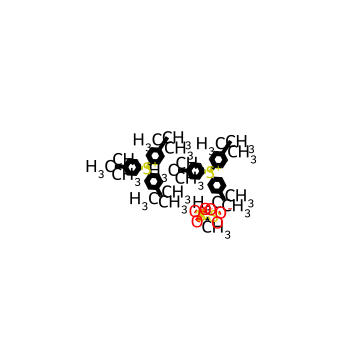 CC(C)(C)c1ccc([S+](c2ccc(C(C)(C)C)cc2)c2ccc(C(C)(C)C)cc2)cc1.CC(C)(C)c1ccc([S+](c2ccc(C(C)(C)C)cc2)c2ccc(C(C)(C)C)cc2)cc1.CC(S(=O)(=O)[O-])S(=O)(=O)[O-]